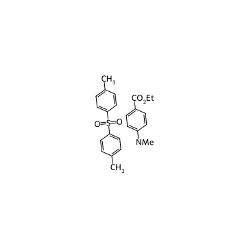 CCOC(=O)c1ccc(NC)cc1.Cc1ccc(S(=O)(=O)c2ccc(C)cc2)cc1